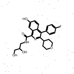 O=C(NCC(O)CO)c1nc(C2CCOCC2)c(-c2ccc(F)cc2)c2ccc(O)cc12